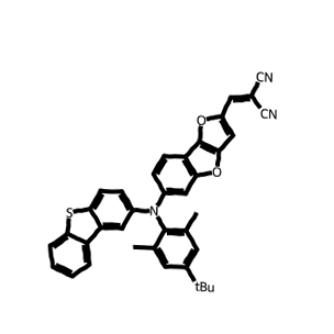 Cc1cc(C(C)(C)C)cc(C)c1N(c1ccc2c(c1)oc1cc(C=C(C#N)C#N)oc12)c1ccc2sc3ccccc3c2c1